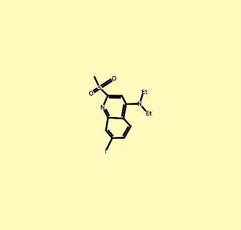 CCN(CC)c1cc(S(C)(=O)=O)nc2cc(I)ccc12